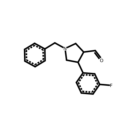 O=CC1CN(Cc2ccccc2)CC1c1cccc(F)c1